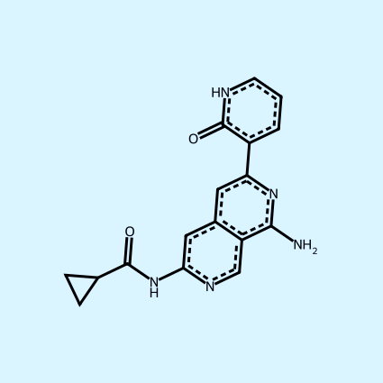 Nc1nc(-c2ccc[nH]c2=O)cc2cc(NC(=O)C3CC3)ncc12